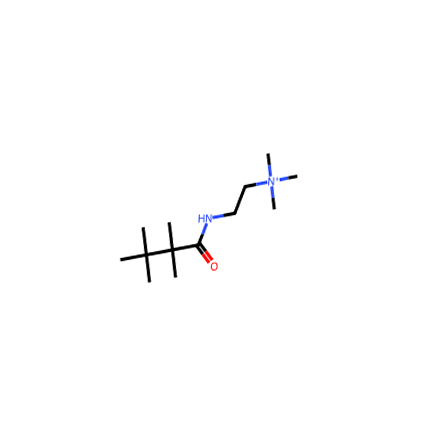 CC(C)(C)C(C)(C)C(=O)NCC[N+](C)(C)C